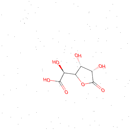 O=C(O)[C@@H](O)C1OC(=O)[C@@H](O)[C@H]1O